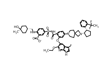 CCOc1nc2[nH]cc(F)c2cc1Oc1cc(N2CCC3(CC2)CN([C@H]2CCC[C@H]2c2ccccc2C(C)(F)F)C3)ccc1C(=O)NS(=O)(=O)c1ccc(NC[C@H]2CC[C@](C)(O)CC2)c([N+](=O)[O-])c1